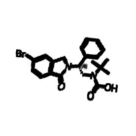 CC(C)(C)N(C[C@@H](c1ccccc1)N1Cc2cc(Br)ccc2C1=O)C(=O)O